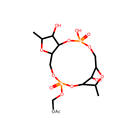 CC(=O)OCOP1(=O)OCC2OC(C)C(O)C2OP(=O)(O)OCC2OC(C)C(O1)C2O